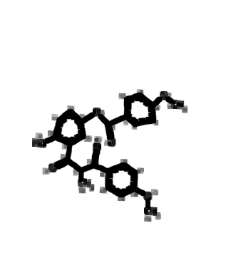 COc1ccc(C(=O)Oc2ccc(O)c(C(=O)C(C)C(=O)c3ccc(OC)cc3)c2)cc1